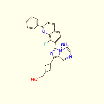 N[N+]12C=CN=CC1=C(C1CC(CO)C1)N=C2c1ccc2ccc(-c3ccccc3)nc2c1F